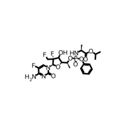 CC(C)OC(=O)[C@H](C)N[P@](=O)(Oc1ccccc1)O[C@@H](C)[C@H]1O[C@@H](n2cc(F)c(N)nc2=O)[C@@](F)(CF)C1O